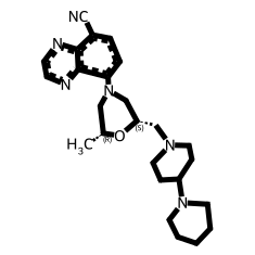 C[C@@H]1CN(c2ccc(C#N)c3nccnc23)C[C@H](CN2CCC(N3CCCCC3)CC2)O1